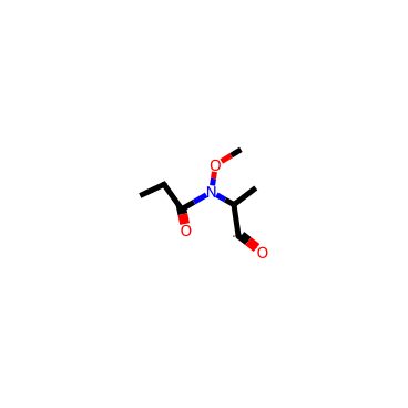 CCC(=O)N(OC)C(C)[C]=O